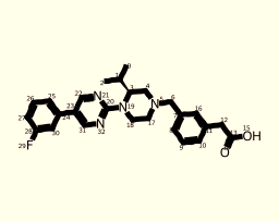 CC(C)[C@H]1CN(Cc2cccc(CC(=O)O)c2)CCN1c1ncc(-c2cccc(F)c2)cn1